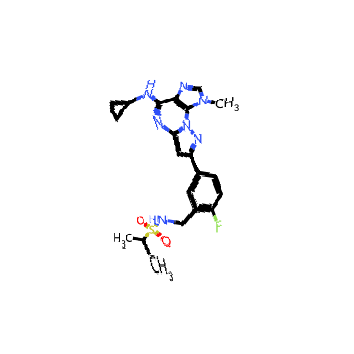 CC(C)S(=O)(=O)NCc1cc(-c2cc3nc(NC4CC4)c4ncn(C)c4n3n2)ccc1F